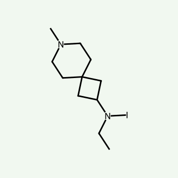 CCN(I)C1CC2(CCN(C)CC2)C1